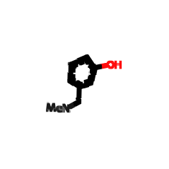 [CH2-][NH2+]Cc1cccc(O)c1